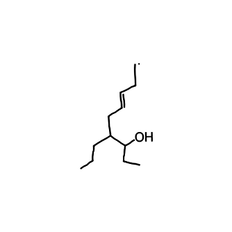 [CH2]CC=CCC(CCC)C(O)CC